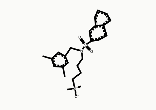 Cc1cc(C)cc(CN(CCCC[N+](C)(C)[O-])S(=O)(=O)c2ccc3ccccc3c2)c1